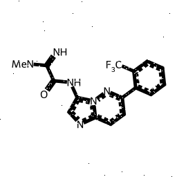 CNC(=N)C(=O)Nc1cnc2ccc(-c3ccccc3C(F)(F)F)nn12